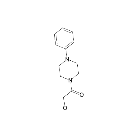 [O]CC(=O)N1CCN(c2ccccc2)CC1